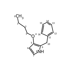 CCCCOc1cc[nH]c1Cc1ccccc1